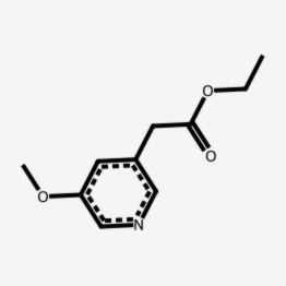 CCOC(=O)Cc1cncc(OC)c1